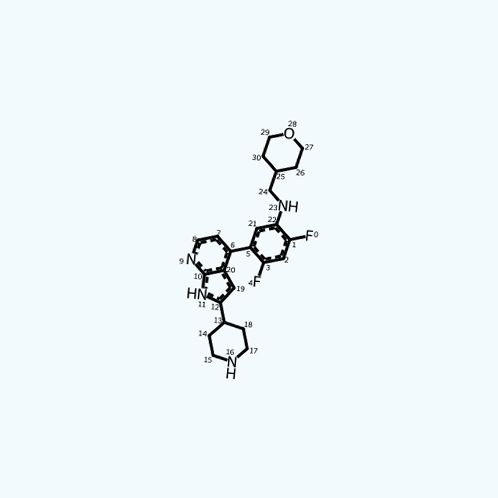 Fc1cc(F)c(-c2ccnc3[nH]c(C4CCNCC4)cc23)cc1NCC1CCOCC1